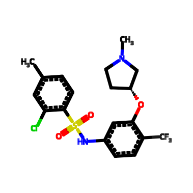 Cc1ccc(S(=O)(=O)Nc2ccc(C(F)(F)F)c(O[C@@H]3CCN(C)C3)c2)c(Cl)c1